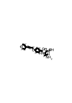 CC(C)(N)[C@H](NC(=O)c1ccc(OCC#CC2=CCOCC2)cc1)C(=O)NO